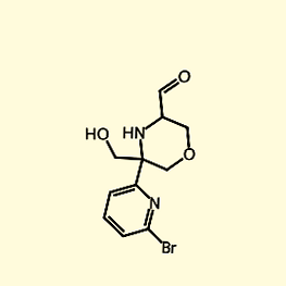 O=CC1COCC(CO)(c2cccc(Br)n2)N1